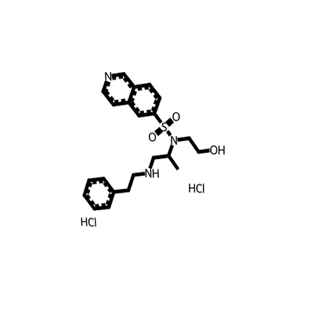 CC(CNCCc1ccccc1)N(CCO)S(=O)(=O)c1ccc2cnccc2c1.Cl.Cl